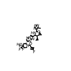 Cc1nonc1C(=O)N[C@H](c1cn2ncc([C@H]3C[C@](O)(C(F)(F)F)CCN3C(=O)C34CC(F)(C3)C4)nc2n1)C(C1CC1)C1CC1